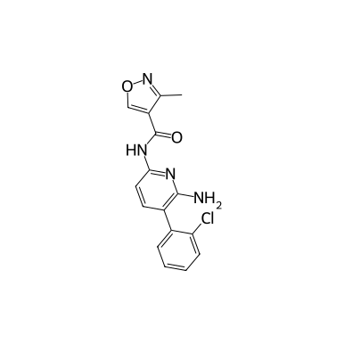 Cc1nocc1C(=O)Nc1ccc(-c2ccccc2Cl)c(N)n1